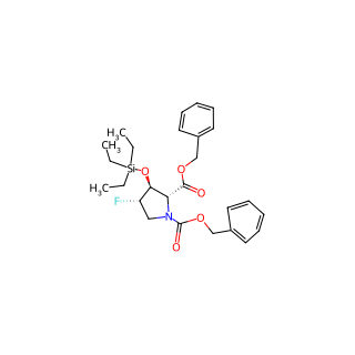 CC[Si](CC)(CC)O[C@@H]1[C@@H](F)CN(C(=O)OCc2ccccc2)[C@H]1C(=O)OCc1ccccc1